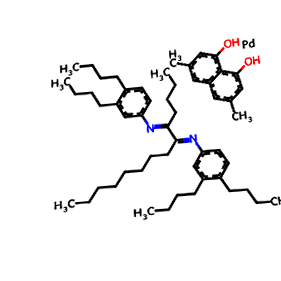 CCCCCCCCC(=Nc1ccc(CCCC)c(CCCC)c1)C(CCCC)=Nc1ccc(CCCC)c(CCCC)c1.Cc1cc(O)c2c(O)cc(C)cc2c1.[Pd]